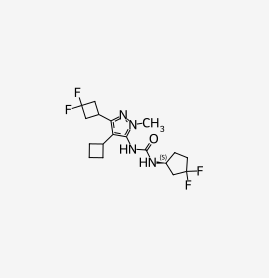 Cn1nc(C2CC(F)(F)C2)c(C2CCC2)c1NC(=O)N[C@H]1CCC(F)(F)C1